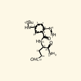 CC(C)(C)Nc1ccc(N=N)c(C(=O)NC(CCC=O)C(N)=O)c1